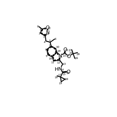 Cc1cc(CC(C)c2ccc3cc(CNC(=O)C4(C)CC4)n(C(=O)OC(C)(C)C)c3c2)no1